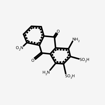 Nc1c2c(c(N)c(S(=O)(=O)O)c1S(=O)(=O)O)C(=O)c1c(cccc1[N+](=O)[O-])C2=O